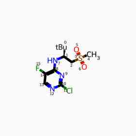 CC(C)(C)[C@@H](CS(C)(=O)=O)Nc1nc(Cl)ncc1F